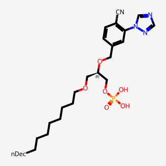 CCCCCCCCCCCCCCCCCCOC[C@H](COP(=O)(O)O)OCc1ccc(C#N)c(-n2cncn2)c1